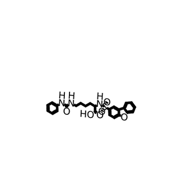 O=C(NCCCCC(NS(=O)(=O)c1ccc2oc3ccccc3c2c1)C(=O)O)Nc1ccccc1